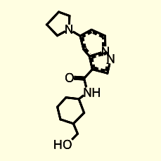 O=C(NC1CCCC(CO)C1)c1cnn2ccc(N3CCCC3)cc12